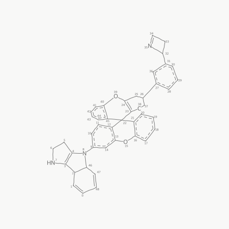 C1=CC2C3=C(CCN3)N(c3ccc4c(c3)Oc3ccccc3C43C4=C(CC(c5cccc(C6CC=N6)c5)CC4)Oc4ccccc43)C2C=C1